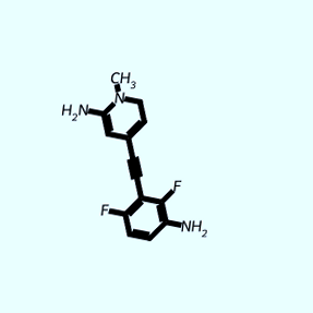 CN1CC=C(C#Cc2c(F)ccc(N)c2F)C=C1N